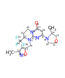 Cc1cc(CN2c3nc(N4CCOCC4C)cc(=O)n3CCC2C(F)(F)F)on1